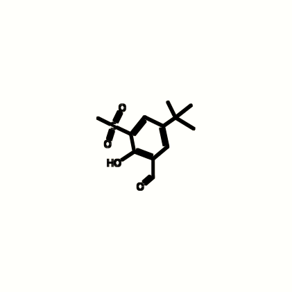 CC(C)(C)c1cc(C=O)c(O)c(S(C)(=O)=O)c1